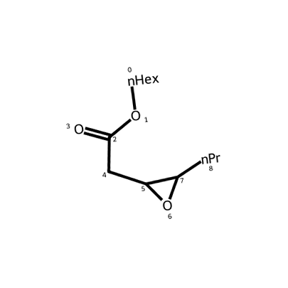 CCCCCCOC(=O)CC1OC1CCC